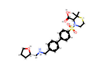 CC1(C)SCCN(S(=O)(=O)c2ccc(-c3ccc(CNC[C@@H]4CCCO4)cc3)cc2)C1C(=O)O